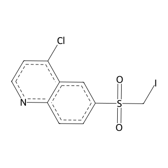 O=S(=O)(CI)c1ccc2nccc(Cl)c2c1